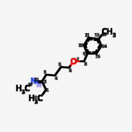 CC/C(CCCCOCc1ccc(C)cc1)=N\C